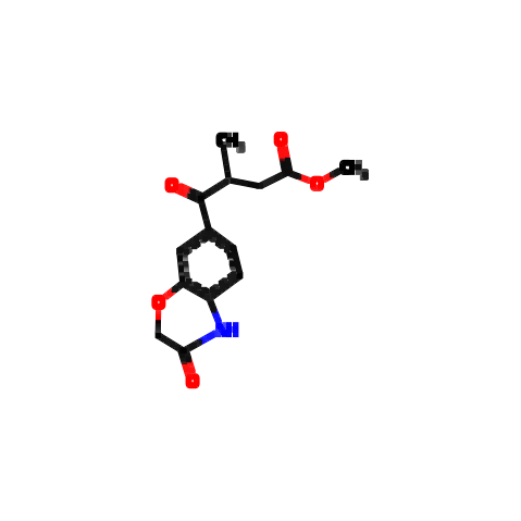 COC(=O)CC(C)C(=O)c1ccc2c(c1)OCC(=O)N2